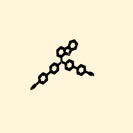 N#Cc1ccc(-c2ccc(N(c3ccc(-c4ccc(C#N)cc4)cc3)c3cccc4c3oc3ccccc34)cc2)cc1